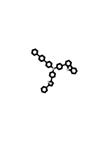 c1ccc(-c2ccc(-c3ccc(N(c4ccc(-c5ccc(-c6ccccc6)s5)cc4)c4ccc(-c5cccc6c5oc5ccccc56)cc4)cc3)cc2)cc1